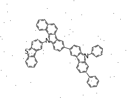 c1ccc(-c2ccc3c4cc(-c5ccc6c(c5)c5ccc7ccccc7c5n6-c5ccc6sc7ccccc7c6c5)ccc4n(-c4ccccc4)c3c2)cc1